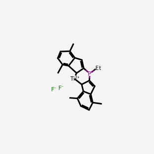 CCP1C2=Cc3c(C)ccc(C)c3[CH]2[Ti+2][CH]2C1=Cc1c(C)ccc(C)c12.[F-].[F-]